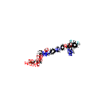 CC[C@@H]([C@H](C)OC(=O)OC(C)OC(=O)CCOP(=O)(O)O)n1ncn(-c2ccc(N3CCN(c4ccc(OC[C@@H]5CO[C@@](Cn6cncn6)(c6ccc(F)cc6F)C5)cc4)CC3)cc2)c1=O